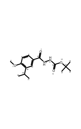 COc1ccc(C(=O)NNC(=O)OC(C)(C)C)cc1C(C)C